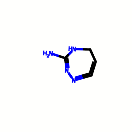 NC1=NN=C=CCN1